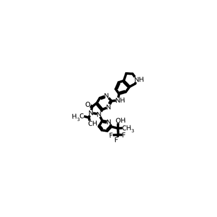 CC(C)n1c(=O)c2cnc(Nc3ccc4c(c3)CNCC4)nc2n1-c1cccc(C(C)(O)C(F)(F)F)n1